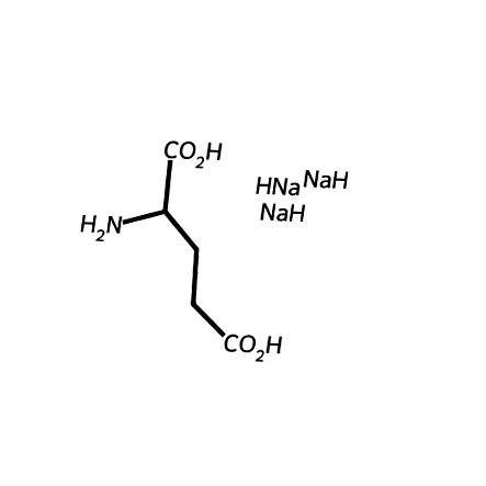 NC(CCC(=O)O)C(=O)O.[NaH].[NaH].[NaH]